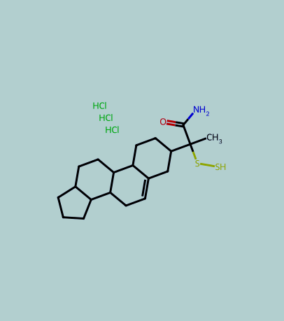 CC(SS)(C(N)=O)C1CCC2C(=CCC3C4CCCC4CCC23)C1.Cl.Cl.Cl